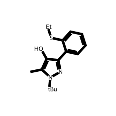 CCSc1ccccc1-c1nn(C(C)(C)C)c(C)c1O